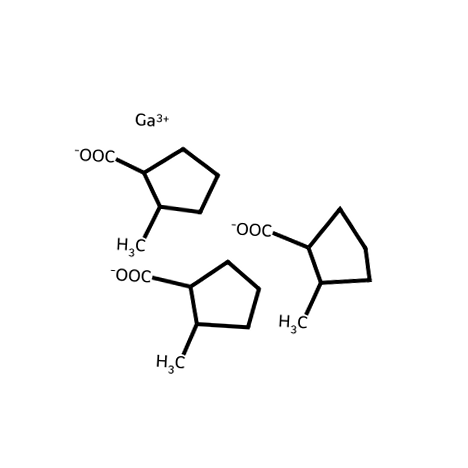 CC1CCCC1C(=O)[O-].CC1CCCC1C(=O)[O-].CC1CCCC1C(=O)[O-].[Ga+3]